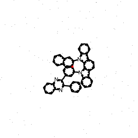 c1ccc(-c2nc3ccccc3nc2-c2cccc(-n3c4ccccc4c4ccc5c6ccccc6n(-c6ccc7ccccc7c6)c5c43)c2)cc1